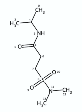 CC(C)NC(=O)CCS(=O)(=O)N(C)C